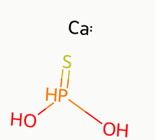 O[PH](O)=S.[Ca]